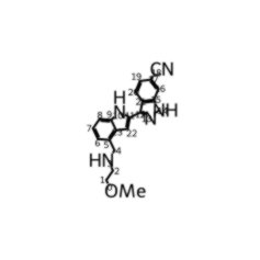 COCCNCc1cccc2[nH]c(-c3n[nH]c4cc(C#N)ccc34)cc12